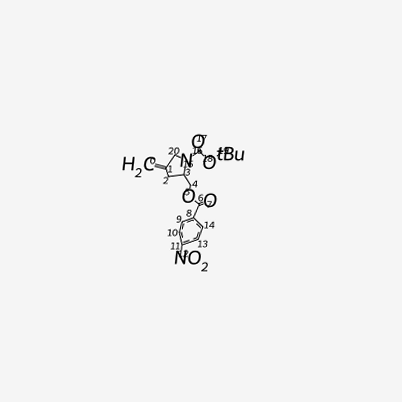 C=C1CC(COC(=O)c2ccc([N+](=O)[O-])cc2)N(C(=O)OC(C)(C)C)C1